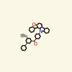 CC(C)(C)c1cc(C(=O)c2ccc(-n3c4ccccc4c4ccc5oc6ccccc6c5c43)cc2)cc(-c2ccccc2)c1